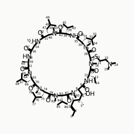 C/C=C/C[C@@H](C)[C@@H](O)[C@H]1C(=O)N[C@@H](CC)C(=O)N(C)[C@H](SCCN(C)C)C(=O)N(C)[C@@H](CC(C)C)C(=O)N[C@@H](C(C)C)C(=O)N(C)[C@@H](CC(C)C)C(=O)N[C@@H](C)C(=O)N[C@H](C)C(=O)N(C)[C@@H](CC(C)C)C(=O)N(C)[C@@H](CC(C)C)C(=O)N(C)[C@@H](C(C)C)C(=O)N1C